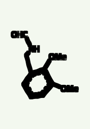 COc1cccc(CNC=O)c1OC